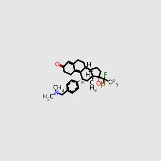 CN(C)Cc1ccc([C@H]2C[C@@]3(C)[C@@H](CC[C@@]3(O)C(F)(F)C(F)(F)F)[C@@H]3CCC4=CC(=O)CCC4=C32)cc1